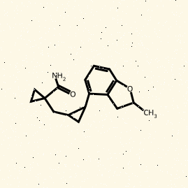 CC1Cc2c(cccc2C2CC2CC2(C(N)=O)CC2)O1